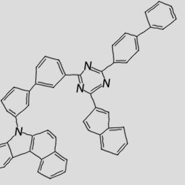 c1ccc(-c2ccc(-c3nc(-c4cccc(-c5cccc(-n6c7ccccc7c7c8ccccc8ccc76)c5)c4)nc(-c4ccc5ccccc5c4)n3)cc2)cc1